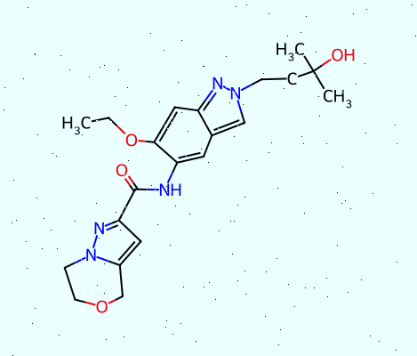 CCOc1cc2nn(CCC(C)(C)O)cc2cc1NC(=O)c1cc2n(n1)CCOC2